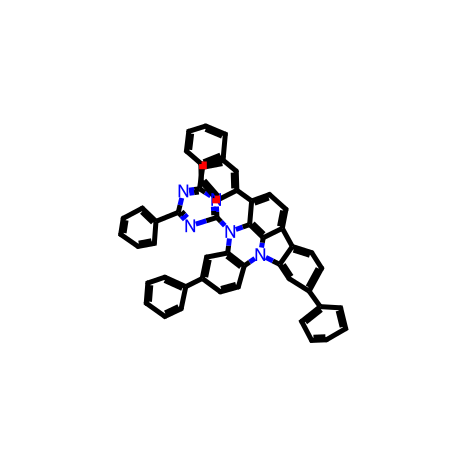 c1ccc(-c2ccc3c(c2)N(c2nc(-c4ccccc4)nc(-c4ccccc4)n2)c2c(-c4ccccc4)ccc4c5ccc(-c6ccccc6)cc5n-3c24)cc1